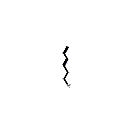 [CH]=C/C=C/CCCCC